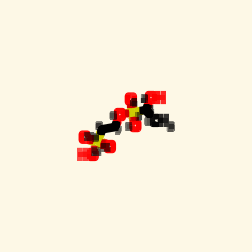 CC(O)S(=O)(=O)OCCS(=O)(=O)O